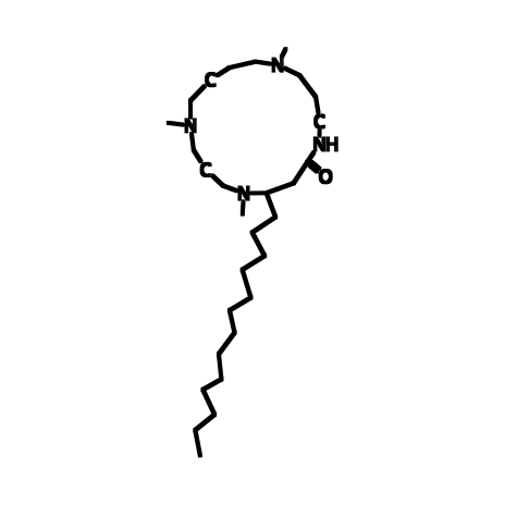 CCCCCCCCCCCCCC1CC(=O)NCCCN(C)CCCCN(C)CCCN1C